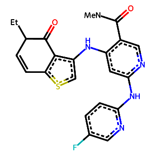 CCC1C=Cc2scc(Nc3cc(Nc4ccc(F)cn4)ncc3C(=O)NC)c2C1=O